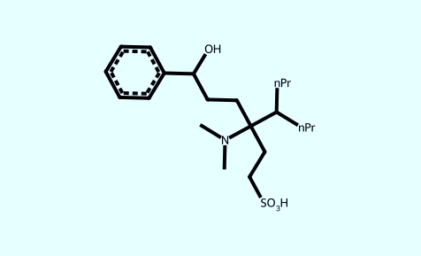 CCCC(CCC)C(CCC(O)c1ccccc1)(CCS(=O)(=O)O)N(C)C